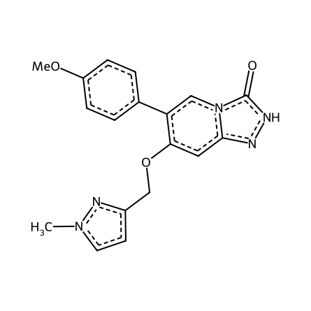 COc1ccc(-c2cn3c(=O)[nH]nc3cc2OCc2ccn(C)n2)cc1